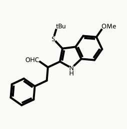 COc1ccc2[nH]c(C(C=O)Cc3ccccc3)c(SC(C)(C)C)c2c1